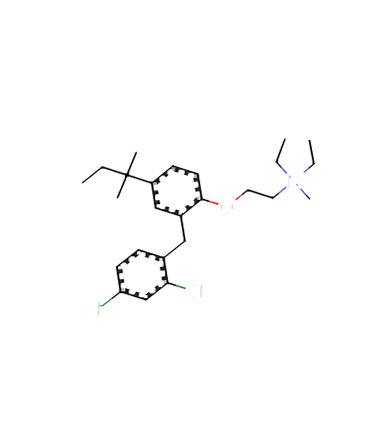 CCC(C)(C)c1ccc(OCC[N+](C)(CC)CC)c(Cc2ccc(Cl)cc2Cl)c1